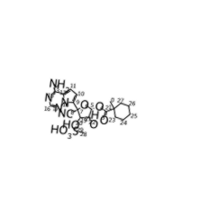 CC1(C(=O)O[C@H]2O[C@@](C#N)(c3ccc4c(N)ncnn34)[C@H](O)[C@@H]2O)CCCCC1.CS(=O)(=O)O